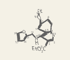 CCOC(=O)c1cnc2ccc(OCC)cc2c1NCc1ccco1